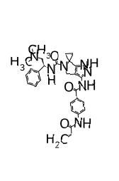 C=CC(=O)Nc1ccc(C(=O)Nc2n[nH]c3c2CN(C(=O)N[C@H](CN(C)C)c2ccccc2)C32CC2)cc1